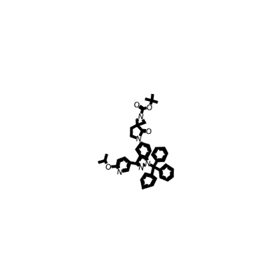 CC(C)Oc1ccc(-c2nn(C(c3ccccc3)(c3ccccc3)c3ccccc3)c3ccc(N4CCC5(CN(C(=O)OC(C)(C)C)C5)C4=O)cc23)cn1